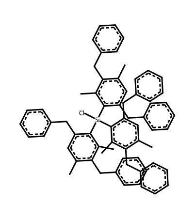 Cc1cc(Cc2ccccc2)c([Si](Cl)(c2c(Cc3ccccc3)cc(C)c(Cc3ccccc3)c2C)c2c(Cc3ccccc3)cc(C)c(Cc3ccccc3)c2C)c(C)c1Cc1ccccc1